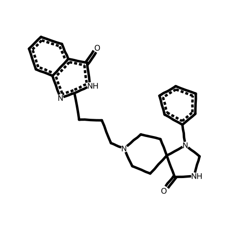 O=C1NCN(c2ccccc2)C12CCN(CCCc1nc3ccccc3c(=O)[nH]1)CC2